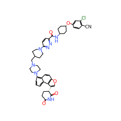 N#Cc1ccc(O[C@H]2CC[C@H](NC(=O)c3ccc(N4CCC(CN5CCN(c6cccc7c6ccc6occ([C@H]8CCC(=O)NC8=O)c67)CC5)CC4)nn3)CC2)cc1Cl